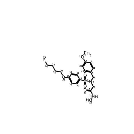 COc1ccc(CN(CC(=O)NO)S(=O)(=O)c2ccc(OCCCCF)cc2)cc1